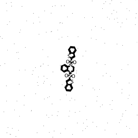 O=S(=O)(c1cc2ccccc2s1)N1CCN(S(=O)(=O)c2cc3ccccc3s2)c2ccccc21